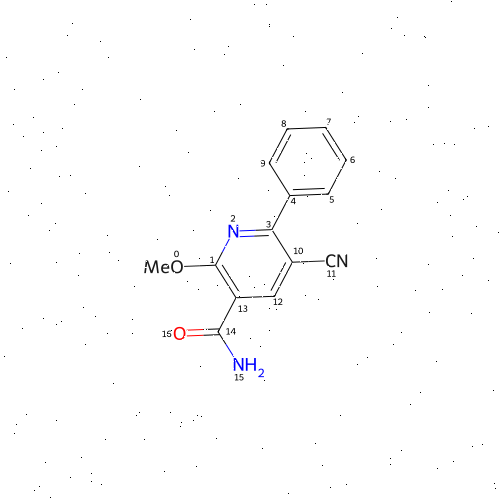 COc1nc(-c2ccccc2)c(C#N)cc1C(N)=O